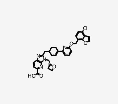 O=C(O)c1ccc2nc(CC3CC=C(c4cccc(OCc5ccc(Cl)c6ccoc56)n4)CC3)n(C[C@@H]3CCO3)c2n1